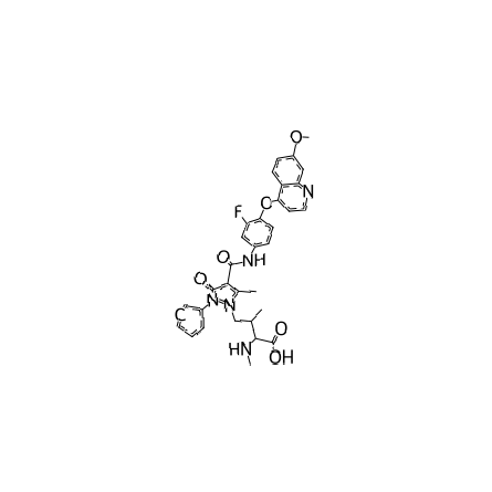 CNC(C(=O)O)C(C)Cn1c(C)c(C(=O)Nc2ccc(Oc3ccnc4cc(OC)ccc34)c(F)c2)c(=O)n1-c1ccccc1